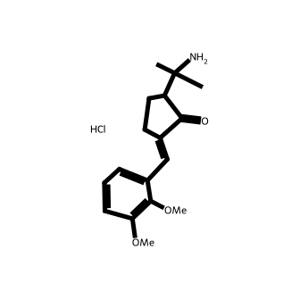 COc1cccc(/C=C2\CCC(C(C)(C)N)C2=O)c1OC.Cl